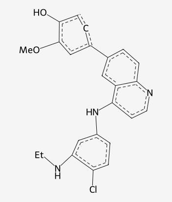 CCNc1cc(Nc2ccnc3ccc(-c4ccc(O)c(OC)c4)cc23)ccc1Cl